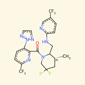 C[C@@H]1CC(F)(F)CN(C(=O)c2nc(C(F)(F)F)ccc2-n2nccn2)C1CNc1ccc(C(F)(F)F)cn1